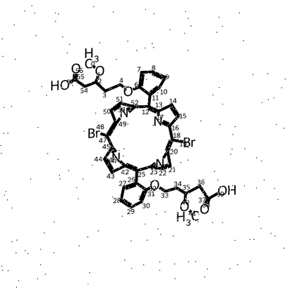 COC(CCOc1ccccc1C1=C2C=CC(=N2)C(Br)=C2C=CC(=N2)C(c2ccccc2OCCC(CC(=O)O)OC)=C2C=CC(=N2)C(Br)=C2C=CC1=N2)CC(=O)O